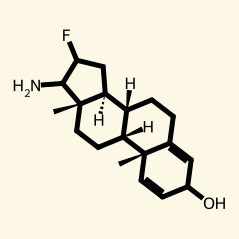 C[C@]12C=CC(O)C=C1CC[C@@H]1[C@H]2CC[C@]2(C)C(N)C(F)C[C@@H]12